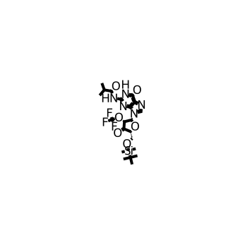 CC(C)C(=O)Nc1nc2c(ncn2[C@@H]2O[C@H](CO[Si](C)(C)C(C)(C)C)C(=O)[C@H]2OC(F)(F)F)c(=O)[nH]1